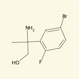 CC(N)(CO)c1cc(Br)ccc1F